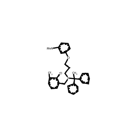 CNc1cccc(OCCCN(Cc2cccc(C(F)(F)F)c2Cl)C(C)(c2ccccc2)c2ccccc2)c1